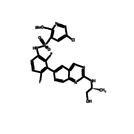 COc1ncc(Cl)cc1S(=O)(=O)Nc1ccc(F)c(-c2ccc3nc(N[C@H](C)CO)ncc3c2)c1F